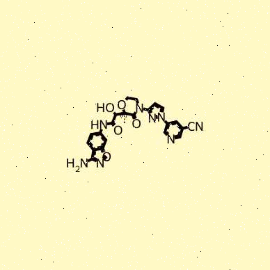 C[C@]1(C(O)C(=O)Nc2ccc3c(N)noc3c2)OCCN(c2ccn(-c3cncc(C#N)c3)n2)C1=O